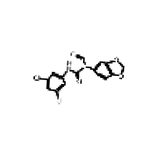 O=CN(C(=O)Nc1cc(Cl)cc(Cl)c1)c1ccc2c(c1)OCO2